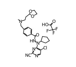 CN(CCC1OCCO1)Cc1ccc(C(=O)NN(c2nc(C#N)ncc2Cl)C2CCCC2)cc1.O=C(O)C(F)(F)F